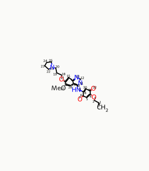 C=CCOC1=CC(=O)C(Nc2ncnc3cc(OCCCN4CCCC4)c(OC)cc23)=CC1=O